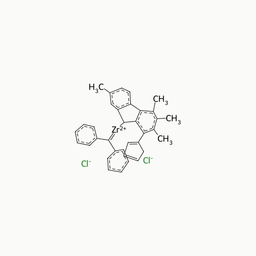 Cc1ccc2c(c1)[CH]([Zr+2]=[C](c1ccccc1)c1ccccc1)c1c(C3=CC=CC3)c(C)c(C)c(C)c1-2.[Cl-].[Cl-]